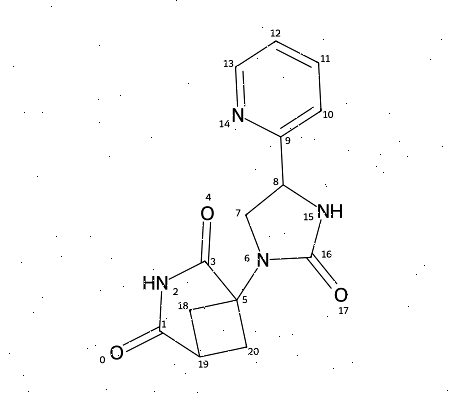 O=C1NC(=O)C2(N3CC(c4ccccn4)NC3=O)CC1C2